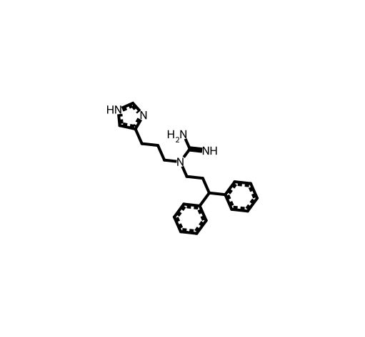 N=C(N)N(CCCc1c[nH]cn1)CCC(c1ccccc1)c1ccccc1